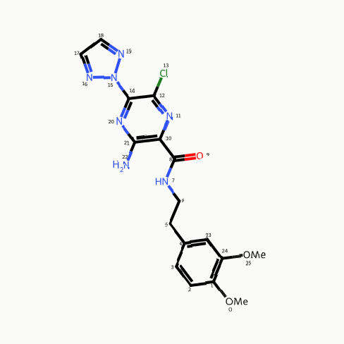 COc1ccc(CCNC(=O)c2nc(Cl)c(-n3nccn3)nc2N)cc1OC